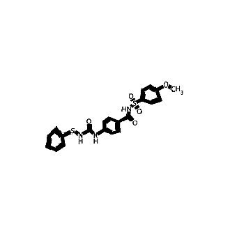 COc1ccc(S(=O)(=O)NC(=O)c2ccc(NC(=O)NSc3ccccc3)cc2)cc1